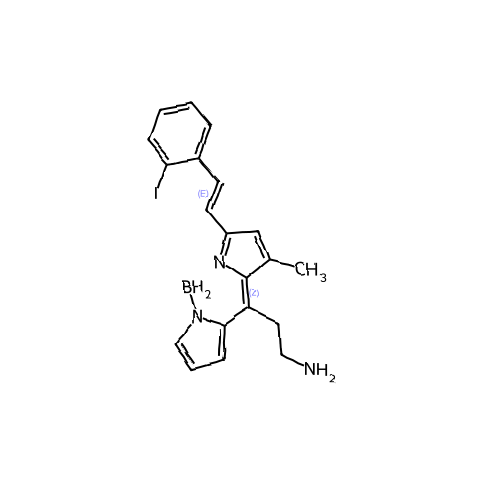 Bn1cccc1/C(CCN)=C1N=C(/C=C/c2ccccc2I)C=C\1C